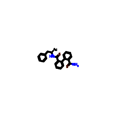 CC(=O)[C@H](Cc1ccccc1)NC(=S)c1ccccc1-c1ccccc1C(N)=S